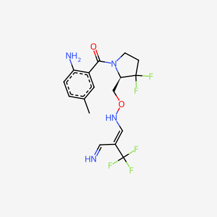 Cc1ccc(N)c(C(=O)N2CCC(F)(F)[C@H]2CON/C=C(\C=N)C(F)(F)F)c1